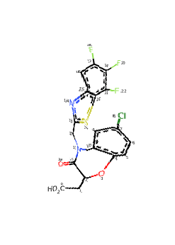 O=C(O)CC1Oc2ccc(Cl)cc2N(Cc2nc3cc(F)c(F)c(F)c3s2)C1=O